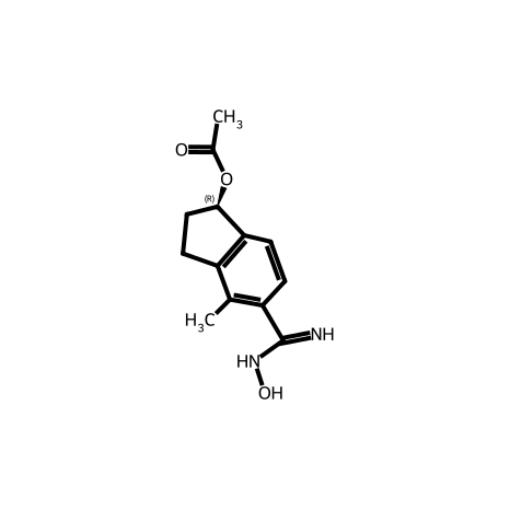 CC(=O)O[C@@H]1CCc2c1ccc(C(=N)NO)c2C